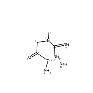 CN(CC(=O)ON)C(=N)N.[NaH]